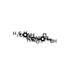 COc1ccc2[nH]c(-c3cc(NC(=O)c4ccc(OCCO)c(Cl)c4)n[nH]3)nc2c1